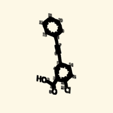 O=C(O)c1cc(C#Cc2ccccc2)ccc1Cl